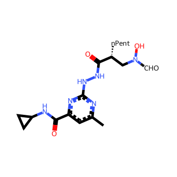 CCCCC[C@H](CN(O)C=O)C(=O)NNc1nc(C)cc(C(=O)NC2CC2)n1